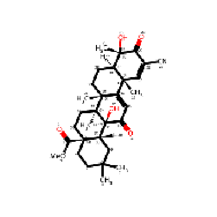 COC(=O)[C@]12CCC(C)(C)C[C@H]1[C@@]1(O)C(=O)C=C3[C@@]4(C)C=C(C#N)C(=O)[C@@](C)(O)[C@@H]4CC[C@@]3(C)[C@]1(C)CC2